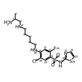 CC(N)CNCCCCCNc1cc(F)c(S(=O)(=O)Nc2nccs2)cc1Cl